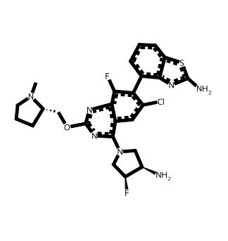 CN1CCC[C@H]1COc1nc(N2C[C@@H](N)[C@@H](F)C2)c2cc(Cl)c(-c3cccc4sc(N)nc34)c(F)c2n1